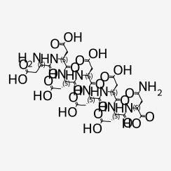 NC(=O)C[C@H](NC(=O)[C@H](CC(=O)O)NC(=O)[C@H](CC(=O)O)NC(=O)[C@H](CC(=O)O)NC(=O)[C@H](CC(=O)O)NC(=O)[C@H](CC(=O)O)NC(=O)[C@H](CC(=O)O)NC(=O)[C@@H](N)CC(=O)O)C(=O)O